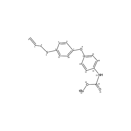 C=CCSc1ccc(Oc2ccc(NC(=O)OC(C)(C)C)cc2)cc1